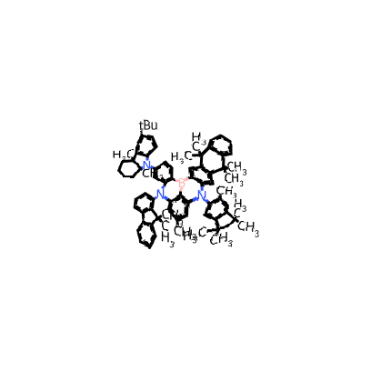 Cc1cc2c3c(c1)N(c1cccc4c1C(C)(C)c1ccccc1-4)c1cc(N4c5ccc(C(C)(C)C)cc5C5(C)CCCCC45C)ccc1B3c1cc3c(cc1N2c1cc2c(cc1C)C(C)(C)CC2(C)C)C(C)(C)c1ccccc1C3(C)C